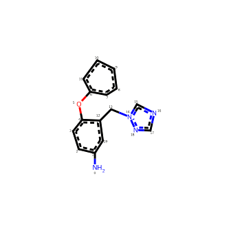 Nc1ccc(Oc2ccccc2)c(Cn2cncn2)c1